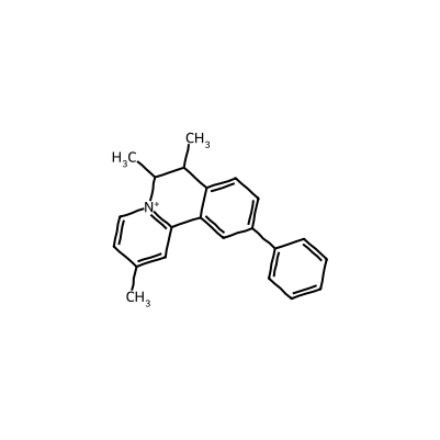 Cc1cc[n+]2c(c1)-c1cc(-c3ccccc3)ccc1C(C)C2C